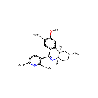 CCOc1cc2c(cc1OC)C(c1ccc(OC)nc1OC)=N[C@@H]1CC[C@@H](OC(C)=O)C[C@H]21